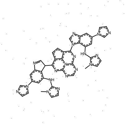 Cn1ccnc1Nc1cc(-n2ccnc2)cc2c1C(c1nc3ncnc4nc(-n5cnc6cc(-n7ccnc7)cc(Nc7nccn7C)c65)c5ccc1c5n34)C=N2